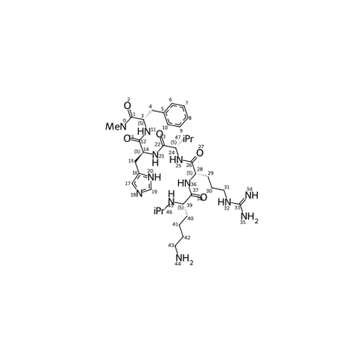 CNC(=O)[C@H](Cc1ccccc1)NC(=O)[C@H](Cc1cnc[nH]1)NC(=O)[C@@H](NC(=O)[C@H](CCCNC(=N)N)NC(=O)[C@H](CCCCN)NC(C)C)C(C)C